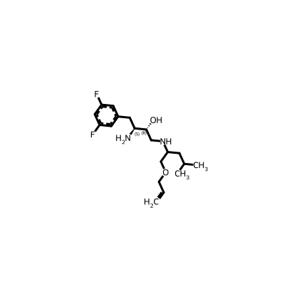 C=CCOCC(CC(C)C)NC[C@@H](O)[C@@H](N)Cc1cc(F)cc(F)c1